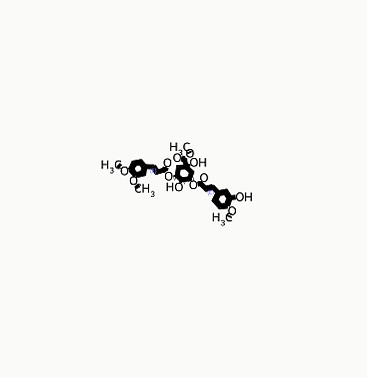 COC(=O)[C@]1(O)C[C@@H](OC(=O)/C=C/c2ccc(OC)c(O)c2)[C@@H](O)[C@H](OC(=O)/C=C/c2ccc(OC)c(OC)c2)C1